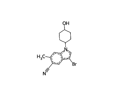 Cc1cc2c(cc1C#N)c(Br)cn2C1CCC(O)CC1